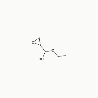 CCOC(O)C1CO1